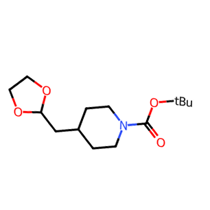 CC(C)(C)OC(=O)N1CCC(CC2OCCO2)CC1